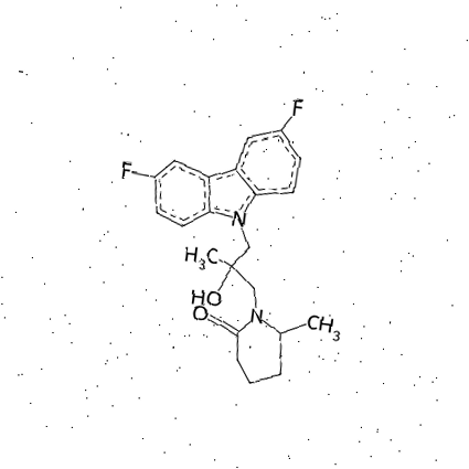 CC1CCCC(=O)N1CC(C)(O)Cn1c2ccc(F)cc2c2cc(F)ccc21